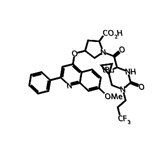 COc1ccc2c(OC3CC(C(=O)O)N(C(=O)C(NC(=O)N(CCC(F)(F)F)CC4CC4)C(C)(C)C)C3)cc(-c3ccccc3)nc2c1